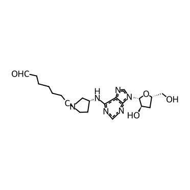 O=CCCCCCCN1CC[C@@H](Nc2ncnc3c2ncn3[C@@H]2O[C@H](CO)C[C@H]2O)C1